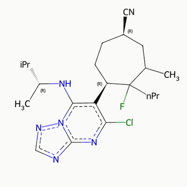 CCCC1(F)C(C)C[C@H](C#N)CC[C@@H]1c1c(Cl)nc2ncnn2c1N[C@H](C)C(C)C